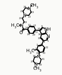 Cc1cc(-c2cnc3[nH]cc(-c4ccc(C(=O)N(C)CCN5CCN(C)CC5)cc4)c3c2)ccc1N1CCN(C)CC1